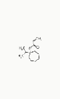 C=CC(=O)OC1(C(C)C)CCCCCC1